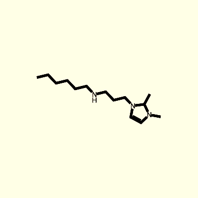 CCCCCCNCCCN1C=CN(C)C1C